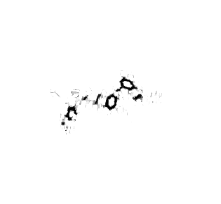 COc1cnc2c(-c3nc4c(C)cc5c(c4s3)OC[C@@H](OC(=O)N(C)c3cnc4c(c3)ncn4C)O5)cc(C)cc2n1